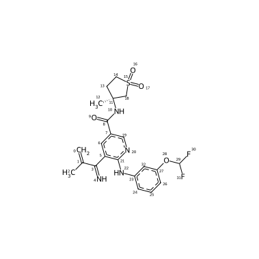 C=C(C)C(=N)c1cc(C(=O)N[C@@]2(C)CCS(=O)(=O)C2)cnc1Nc1cccc(OC(F)F)c1